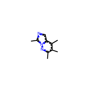 Cc1nn2c(C)ncc2c(C)c1C